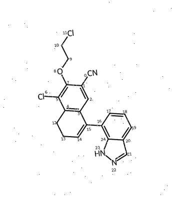 N#Cc1cc2c(c(Cl)c1OCCCl)CCC=C2c1cccc2cn[nH]c12